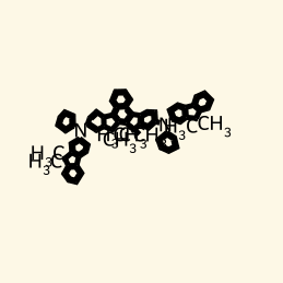 CC1(C)c2ccccc2-c2ccc(N(C3=CC4C(C=C3)c3c(c5c(c6ccccc36)-c3ccc(N(c6ccccc6)c6ccc7c(c6)C(C)(C)c6ccccc6-7)cc3C5(C)C)C4(C)C)c3ccccc3)cc21